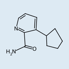 NC(=O)c1ncccc1C1CCCC1